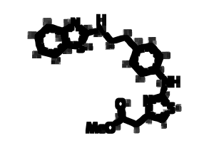 COC(=O)Cc1csc(Nc2ccc(CCNc3nc4ccccc4s3)cc2)n1